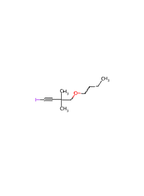 CCCCOCC(C)(C)C#CI